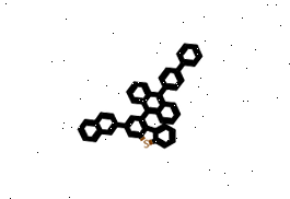 c1ccc(-c2ccc(-c3c4ccccc4c(-c4cc(-c5ccc6ccccc6c5)cc5sc6ccccc6c45)c4ccccc34)cc2)cc1